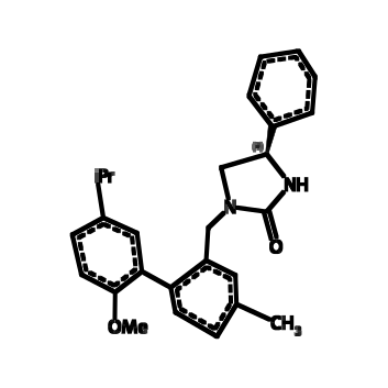 COc1ccc(C(C)C)cc1-c1ccc(C)cc1CN1C[C@@H](c2ccccc2)NC1=O